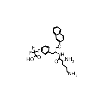 NCCC[C@@H](N)C(=O)N[C@@H](COc1ccc2ccccc2c1)Cc1ccccc1.O=C(O)C(F)(F)F